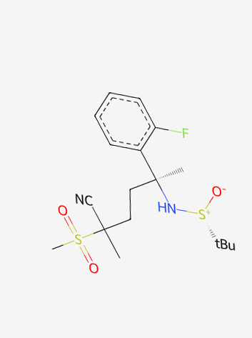 CC(C)(C)[S@@+]([O-])N[C@@](C)(CCC(C)(C#N)S(C)(=O)=O)c1ccccc1F